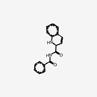 O=C(NC(=O)C1C=Cc2ccccc2N1)c1ccccc1